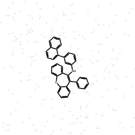 c1ccc(C2=C(Nc3cccc(-c4cccc5ccccc45)c3)c3ccccc3Oc3ccccc32)cc1